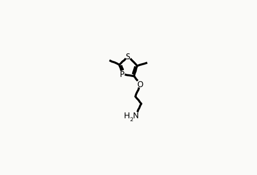 Cc1pc(OCCN)c(C)s1